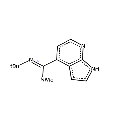 CN/C(=N\C(C)(C)C)c1ccnc2[nH]ccc12